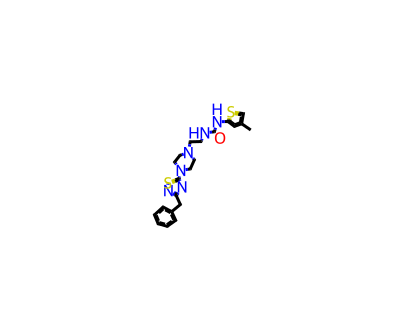 Cc1csc(NC(=O)NCCN2CCN(c3nc(Cc4ccccc4)ns3)CC2)c1